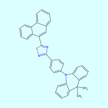 CC1(C)c2ccccc2N(c2ccc(-c3nsc(-c4cc5ccccc5c5ccccc45)n3)cc2)c2ccccc21